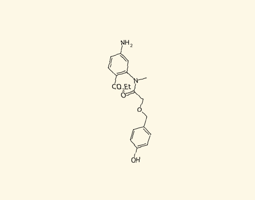 CCOC(=O)c1ccc(N)cc1N(C)C(=O)COCc1ccc(O)cc1